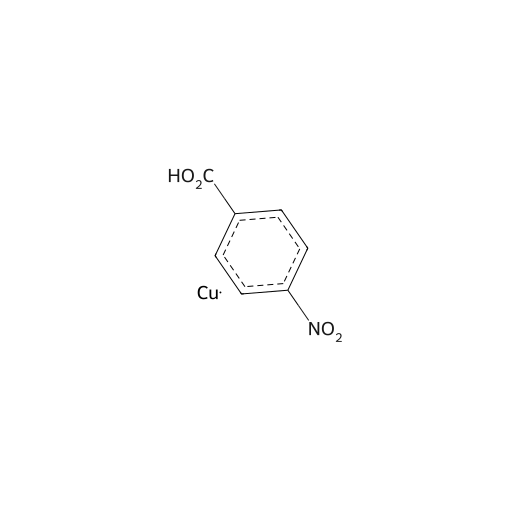 O=C(O)c1ccc([N+](=O)[O-])cc1.[Cu]